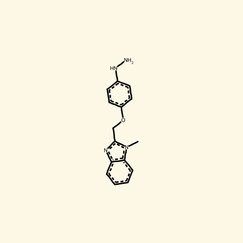 Cn1c(COc2ccc(NN)cc2)nc2ccccc21